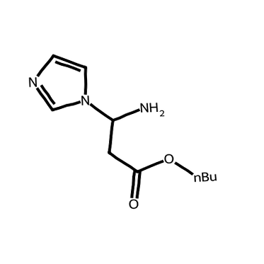 CCCCOC(=O)CC(N)n1ccnc1